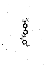 CC(C)N1CCC(N(C)c2nc3ccc(-c4ccc(C(=O)N(C)C)cc4)nc3s2)CC1